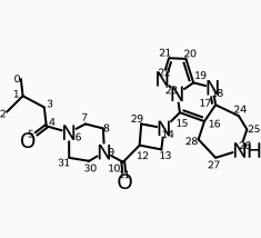 CC(C)CC(=O)N1CCN(C(=O)C2CN(c3c4c(nc5ccnn35)CCNCC4)C2)CC1